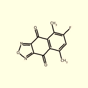 Cc1cc(F)c(C)c2c1C(=O)c1nonc1C2=O